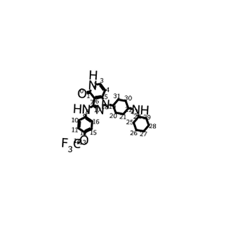 O=c1[nH]ccc2c1c(Nc1ccc(OC(F)(F)F)cc1)nn2C1CCC(NC2CCCCC2)CC1